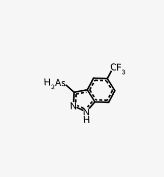 FC(F)(F)c1ccc2[nH]nc([AsH2])c2c1